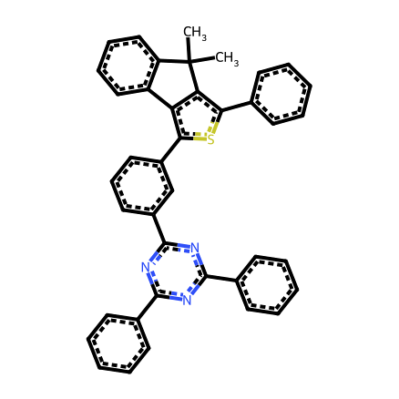 CC1(C)c2ccccc2-c2c(-c3cccc(-c4nc(-c5ccccc5)nc(-c5ccccc5)n4)c3)sc(-c3ccccc3)c21